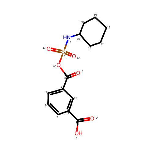 O=C(O)c1cccc(C(=O)OS(=O)(=O)NC2CCCCC2)c1